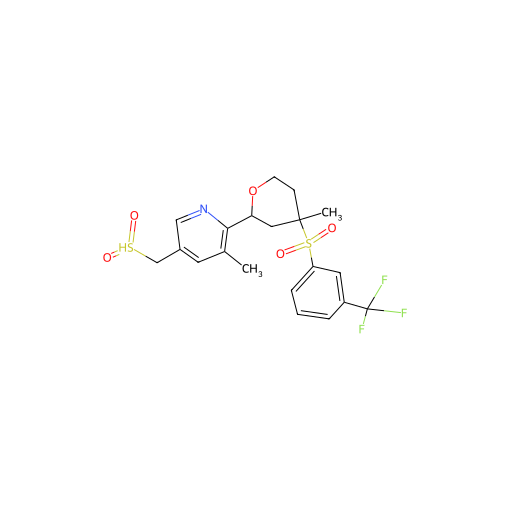 Cc1cc(C[SH](=O)=O)cnc1C1CC(C)(S(=O)(=O)c2cccc(C(F)(F)F)c2)CCO1